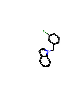 Fc1cccc(Cn2ccc3c[c]ccc32)c1